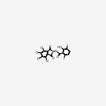 O=C(ON1C(=O)c2c(Cl)c(Cl)c(Cl)c(Cl)c2C1=O)c1c(I)ccc(I)c1O